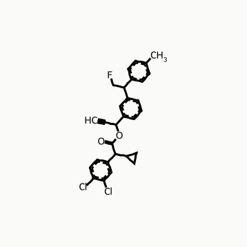 C#CC(OC(=O)C(c1ccc(Cl)c(Cl)c1)C1CC1)c1cccc(C(CF)c2ccc(C)cc2)c1